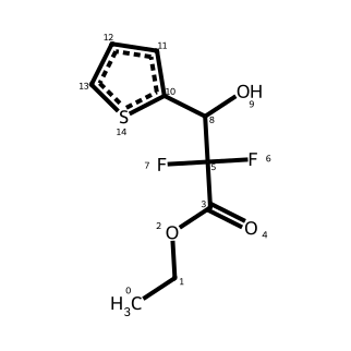 CCOC(=O)C(F)(F)C(O)c1cccs1